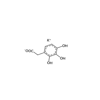 O=C([O-])Cc1ccc(O)c(O)c1O.[K+]